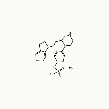 Cl.O=S(=O)(Oc1ccc(N2CCNCC2CCC2CCc3ccccc32)cc1)C(F)(F)F